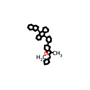 C=c1cccc/c1=C/c1oc2ccc(-c3cccc(-c4c5ccccc5c(-c5ccc6ccccc6c5)c5ccccc45)c3)cc2c1C